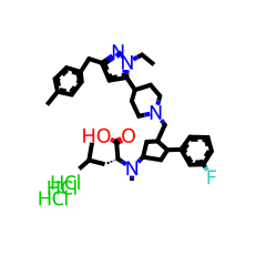 CCn1nc(Cc2ccc(C)cc2)cc1C1CCN(CC2CC(N(C)[C@H](CC(C)C)C(=O)O)CC2c2cccc(F)c2)CC1.Cl.Cl.Cl